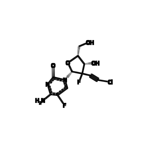 Nc1nc(=O)n([C@@H]2O[C@H](CO)[C@H](O)C2(F)C#CCl)cc1F